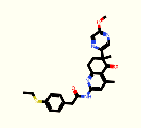 CCSc1ccc(CC(=O)Nc2cc(C)c3c(n2)CCC(C)(c2cnc(OC)cn2)C3=O)cc1